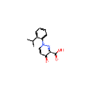 CC(C)c1ccccc1-n1ccc(=O)c(C(=O)O)n1